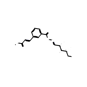 O=C(/C=C/c1cccc(C(=O)N/N=C/[C@@H](O)[C@H](O)[C@H](O)CO)c1)NO